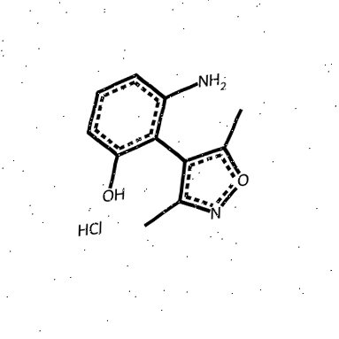 Cc1noc(C)c1-c1c(N)cccc1O.Cl